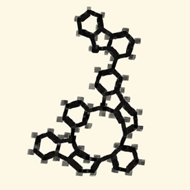 c1ccc2c(c1)oc1c(-c3ccc4c(c3)c3ccc5cc3n4c3cccc(c3)n3c4ccccc4c4ccc(cc43)c3ccccc53)cccc12